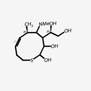 CNC1C([C@@H](O)CO)C(O)C(O)SCC/C=C\[C@H]1C